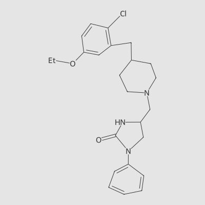 CCOc1ccc(Cl)c(CC2CCN(CC3CN(c4ccccc4)C(=O)N3)CC2)c1